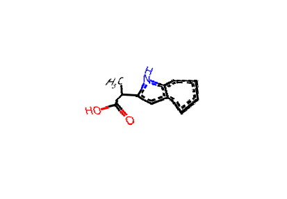 CC(C(=O)O)c1cc2ccccc2[nH]1